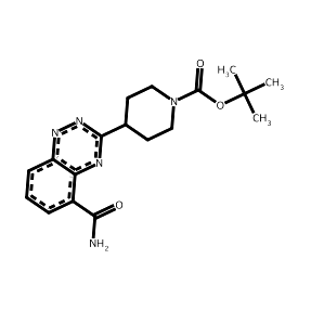 CC(C)(C)OC(=O)N1CCC(c2nnc3cccc(C(N)=O)c3n2)CC1